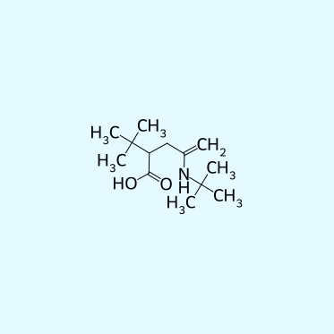 C=C(CC(C(=O)O)C(C)(C)C)NC(C)(C)C